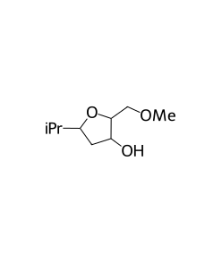 COCC1OC(C(C)C)CC1O